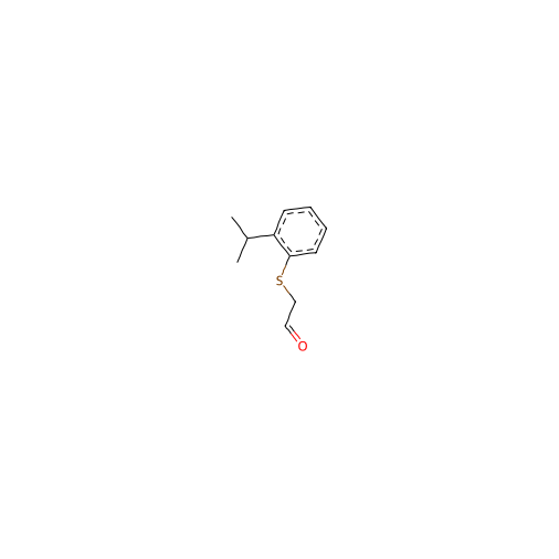 CC(C)c1ccccc1SCC=O